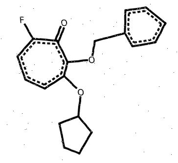 O=c1c(F)cccc(OC2CCCC2)c1OCc1ccccc1